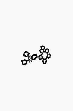 c1ccc(-c2nc3cc(-c4ccc5c6ccccc6c6ccccc6c6ccccc6c6c7ccccc7ccc6c5c4)ccc3n2-c2ccccc2)cc1